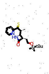 C[C@@H](C(=S)c1ccccn1)[C@H]1NC(=O)[C@H]1CCO[Si](C)(C)C(C)(C)C